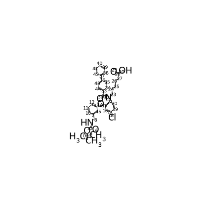 CC(C)(C)OC(=O)NCc1cccc(Oc2cc(Cl)ccc2N(CCCCCC(=O)O)C(=O)c2ccc(-c3ccccc3)cc2)c1